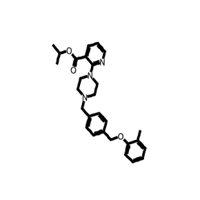 Cc1ccccc1OCc1ccc(CN2CCN(c3ncccc3C(=O)OC(C)C)CC2)cc1